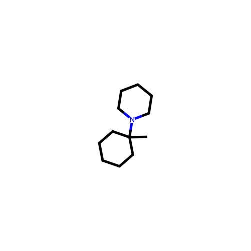 CC1(N2CCCCC2)CCCCC1